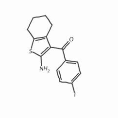 Nc1sc2c(c1C(=O)c1ccc(I)cc1)CCCC2